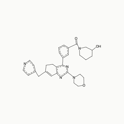 O=C(c1cccc(-c2nc(N3CCOCC3)nc3c2CCC(Cc2ccncc2)=C3)c1)N1CCCC(O)C1